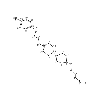 CCCCCC1CCC(C2CCC(CCCOc3ccc(F)cc3)CC2)CC1